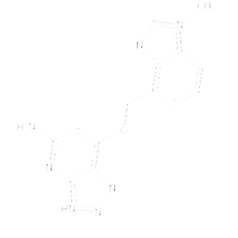 Cn1cnc2c(COc3cc(N)nc4[nH]nnc34)cccc21